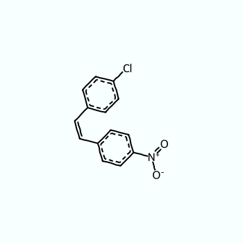 O=[N+]([O-])c1ccc(/C=C\c2ccc(Cl)cc2)cc1